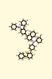 Cc1cccc(N(c2ccc(-c3cccc4c3sc3ccccc34)cc2)c2ccc(-c3ccc4c(c3)c3ccccc3n4-c3ccccc3)c3ccccc23)c1